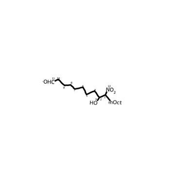 CCCCCCCCC(C(O)CCCCCCC[C]=O)[N+](=O)[O-]